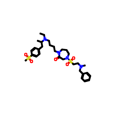 CCN(CCCCN1CCCN(S(=O)(=O)CCN(C)Cc2ccccc2)CC1=O)C(C)Cc1ccc(S(C)(=O)=O)cc1